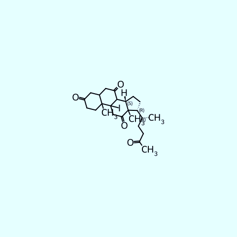 CC(=O)CC[C@@H](C)[C@H]1CC[C@H]2C3C(=O)CC4CC(=O)CCC4(C)C3(I)CC(=O)C12C